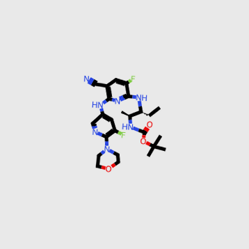 CC[C@@H](Nc1nc(Nc2cnc(N3CCOCC3)c(F)c2)c(C#N)cc1F)[C@H](C)NC(=O)OC(C)(C)C